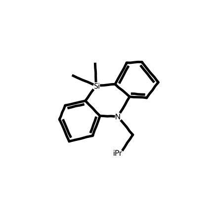 CC(C)CN1c2ccccc2[Si](C)(C)c2ccccc21